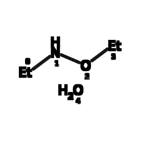 CCNOCC.O